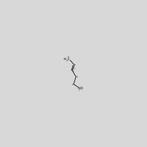 C/C=C/CCN=O